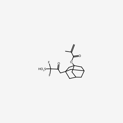 C=C(C)C(=O)OC12CC3CC(CC(CC(=O)C(F)(F)S(=O)(=O)O)(C3)C1)C2